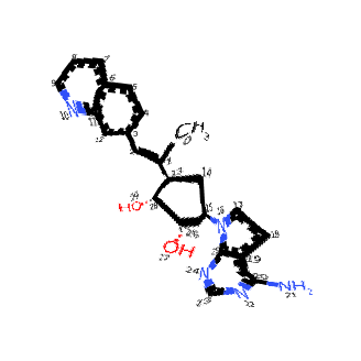 C/C(=C\c1ccc2cccnc2c1)[C@H]1C[C@@H](n2ccc3c(N)ncnc32)[C@H](O)[C@@H]1O